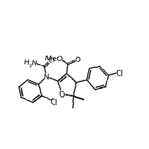 COC(=O)C1=C(N(C(N)=O)c2ccccc2Cl)OC(C)(C)C1c1ccc(Cl)cc1